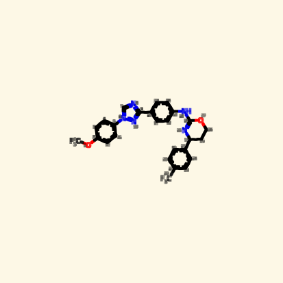 FC(F)(F)Oc1ccc(-n2cnc(-c3ccc(NC4=NC(c5ccc(C(F)(F)F)cc5)CCO4)cc3)n2)cc1